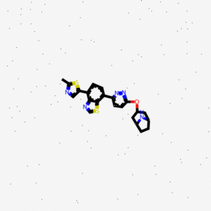 Cc1ncc(-c2ccc(-c3ccc(OC4CC5CCC(C4)N5)nn3)c3scnc23)s1